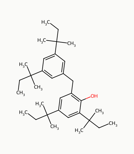 CCC(C)(C)c1cc(Cc2cc(C(C)(C)CC)cc(C(C)(C)CC)c2O)cc(C(C)(C)CC)c1